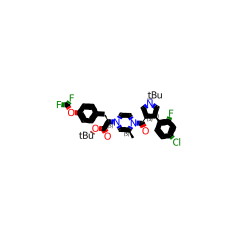 C[C@H]1CN([C@@H](Cc2ccc(OC(F)F)cc2)C(=O)OC(C)(C)C)CCN1C(=O)[C@@H]1CN(C(C)(C)C)C[C@H]1c1ccc(Cl)cc1F